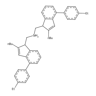 CCCCC1=Cc2c(-c3ccc(CC)cc3)cccc2C1C[SiH2]CC1C(CCCC)=Cc2c(-c3ccc(CC)cc3)cccc21